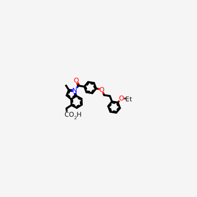 CCOc1ccccc1CCOc1ccc(C(=O)n2c(C)cc3c(CC(=O)O)cccc32)cc1